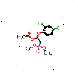 COP(=O)(CC(OC(C)=O)Oc1ccc(Cl)cc1Cl)OC